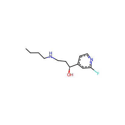 CCCCNCC[C@H](O)c1ccnc(F)c1